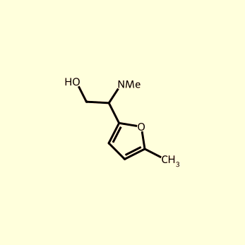 CNC(CO)c1ccc(C)o1